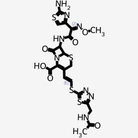 CO/N=C(\C(=O)NC1C(=O)N2C(C(=O)O)=C(/C=C/Sc3nnc(CNC(C)=O)s3)CSC12)c1csc(N)n1